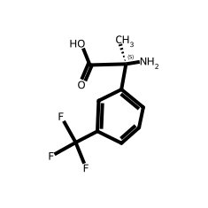 C[C@@](N)(C(=O)O)c1cccc(C(F)(F)F)c1